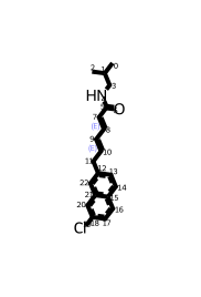 CC(C)CNC(=O)/C=C/C=C/Cc1ccc2ccc(Cl)cc2c1